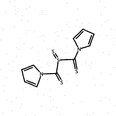 S=C(n1cccc1)S(=S)C(=S)n1cccc1